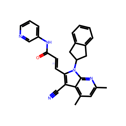 Cc1cc(C)c2c(C#N)c(/C=C/C(=O)Nc3cccnc3)n(C3Cc4ccccc4C3)c2n1